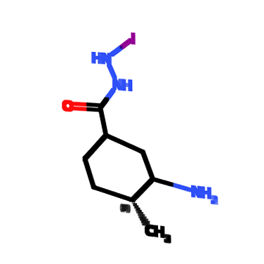 C[C@@H]1CCC(C(=O)NNI)CC1N